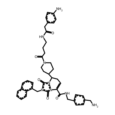 NCc1ccc(CNC(=O)C2=CCC(C3CCN(C(=O)CCCNC(=O)Cc4ccc(N)cc4)CC3)n3c(=O)n(Cc4cccc5ccccc45)c(=O)n32)cc1